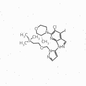 C[C@@H]1COCCN1c1nc2c(cnn2-c2ccnn2COCC[Si](C)(C)C)c(I)c1Cl